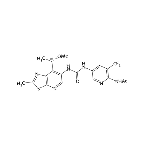 CO[C@@H](C)c1c(NC(=O)Nc2cnc(NC(C)=O)c(C(F)(F)F)c2)cnc2sc(C)nc12